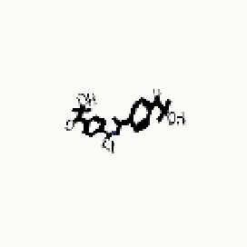 CC/C(=C/C(C)c1ccc(C(=O)C(C)(C)O)cc1)c1ccc(C(=O)C(C)(C)O)cc1